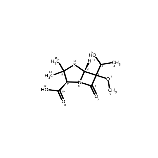 COC1(C(C)O)C(=O)N2[C@@H](C(=O)O)C(C)(C)S[C@@H]21